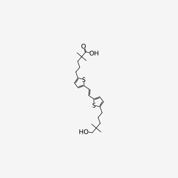 CC(C)(CO)CCCc1ccc(C=Cc2ccc(CCCC(C)(C)C(=O)O)s2)s1